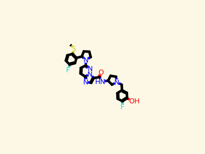 CSc1ccc(F)cc1C1CCCN1c1ccc2ncc(C(=O)NC3CCN(Cc4ccc(F)c(O)c4)C3)n2n1